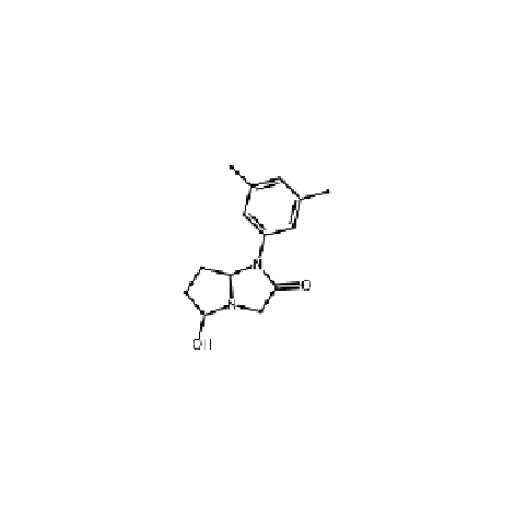 Cc1cc(C)cc(N2C(=O)CN3C(O)CCC23)c1